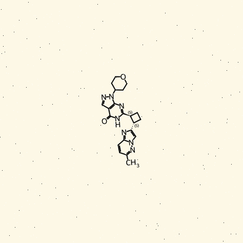 Cc1ccc2nc([C@H]3CC[C@@H]3c3nc4c(cnn4C4CCOCC4)c(=O)[nH]3)cn2n1